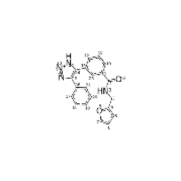 O=C(NCc1ccco1)c1cccc(C2=C(c3ccccc3)N=[N+]N2)c1